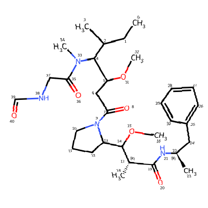 CCC(C)C(C(CC(=O)N1CCCC1C(OC)[C@@H](C)C(=O)N[C@H](C)Cc1ccccc1)OC)N(C)C(=O)CNC=O